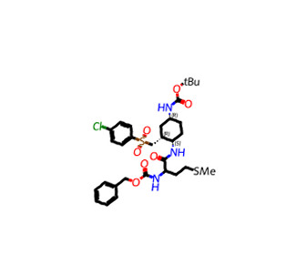 CSCCC(NC(=O)OCc1ccccc1)C(=O)N[C@H]1CC[C@@H](NC(=O)OC(C)(C)C)C[C@H]1CS(=O)(=O)c1ccc(Cl)cc1